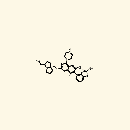 Nc1nc2c(-c3c(Cl)cc4c(N5CCNCC5)nc(OC[C@]56CCCN5[C@@H](CO)CC6)nc4c3F)cccc2s1